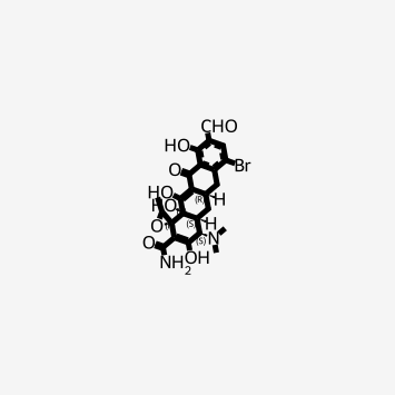 CC1O[C@]12C(C(N)=O)=C(O)[C@@H](N(C)C)[C@@H]1C[C@@H]3Cc4c(Br)cc(C=O)c(O)c4C(=O)C3=C(O)[C@@]12O